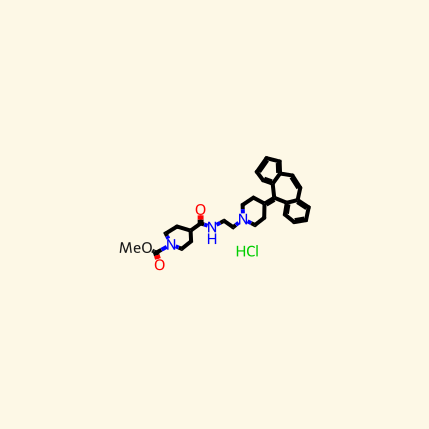 COC(=O)N1CCC(C(=O)NCCN2CCC(=C3c4ccccc4C=Cc4ccccc43)CC2)CC1.Cl